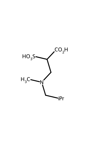 CC(C)CN(C)CC(C(=O)O)S(=O)(=O)O